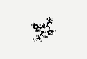 CC(C)(C)[C@@H](NC(=O)C(F)(F)F)C(=O)N1C[C@H]2CC(F)(F)C[C@H]2[C@H]1C(=O)N[C@@H](/C=C(\F)S(C)(=O)=O)C[C@@H]1CCNC1=O